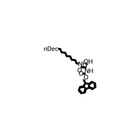 CCCCCCCCCCCCCCCCCCNC(=O)[C@H](CO)NC(=O)OCC1c2ccccc2-c2ccccc21